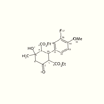 CCOC(=O)C1C(=O)CC(C)(O)C(C(=O)OCC)C1c1ccc(OC)c(F)c1